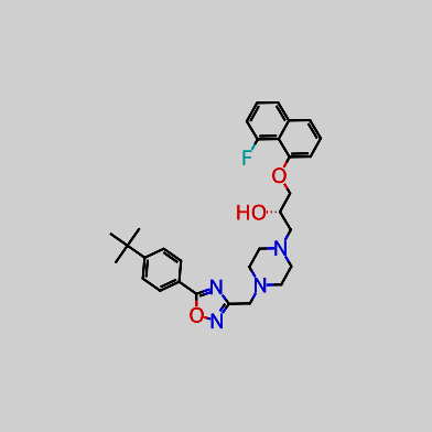 CC(C)(C)c1ccc(-c2nc(CN3CCN(C[C@H](O)COc4cccc5cccc(F)c45)CC3)no2)cc1